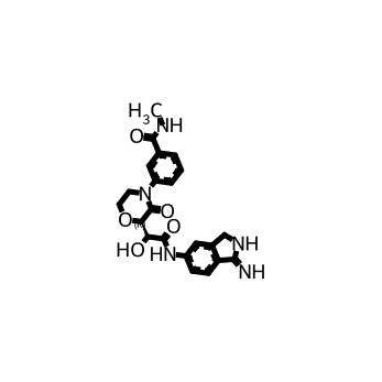 CNC(=O)c1cccc(N2CCO[C@H](C(O)C(=O)Nc3ccc4c(c3)CNC4=N)C2=O)c1